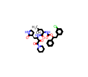 CC(C)CC(NC(=O)OC(Cc1cccc(Cl)c1)c1ccccc1)C(=O)NC(C[C@@H]1CCNC1=O)C(=O)C(=O)N1CCCCC1